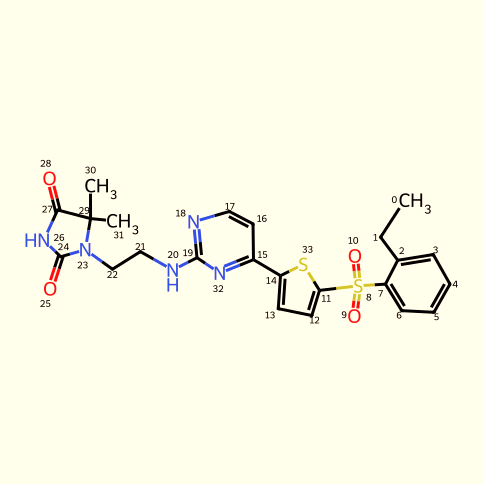 CCc1ccccc1S(=O)(=O)c1ccc(-c2ccnc(NCCN3C(=O)NC(=O)C3(C)C)n2)s1